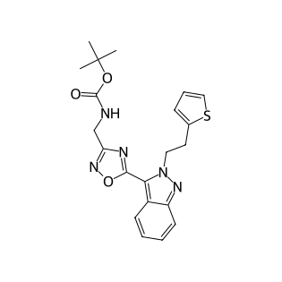 CC(C)(C)OC(=O)NCc1noc(-c2c3ccccc3nn2CCc2cccs2)n1